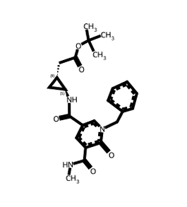 CNC(=O)c1cc(C(=O)N[C@H]2C[C@@H]2CC(=O)OC(C)(C)C)cn(Cc2ccccc2)c1=O